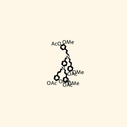 COc1cc(/C=C/CN(C/C=C/c2ccc(OC(C)=O)c(OC)c2)Cc2ccc(N(C/C=C/c3ccc(OC(C)=O)c(OC)c3)C/C=C/c3ccc(OC(C)=O)c(OC)c3)cc2)ccc1OC(C)=O